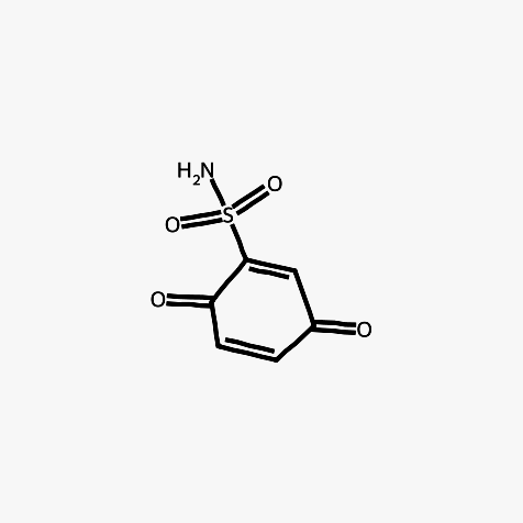 NS(=O)(=O)C1=CC(=O)C=CC1=O